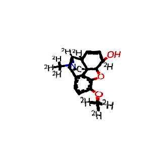 [2H]C([2H])([2H])Oc1ccc2c3c1OC1C([2H])(O)C=C[C@]4([2H])[C@@]31CCN(C([2H])([2H])[2H])[C@]4([2H])C2